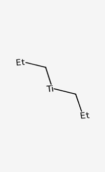 CC[CH2][Ti][CH2]CC